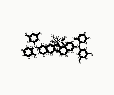 Cc1cc(C)cc(N(c2ccc3cc4c(cc3c2)C([Si](C)(C)C)([Si](C)(C)C)c2c-4ccc3cc(N(c4cc(C)cc(C)c4)c4ccccc4C)ccc23)c2ccccc2C)c1